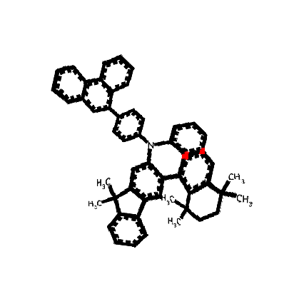 CC1(C)CCC(C)(C)c2c(-c3cc4c(cc3N(c3ccccc3)c3ccc(-c5cc6ccccc6c6ccccc56)cc3)C(C)(C)c3ccccc3-4)cccc21